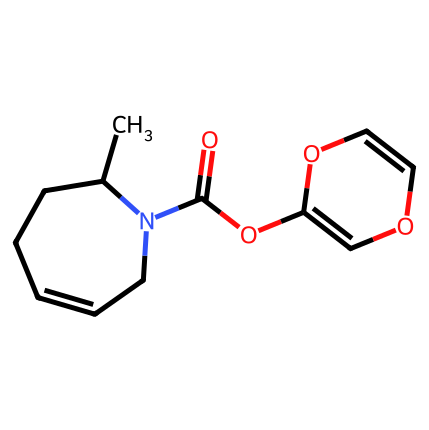 CC1CCC=CCN1C(=O)OC1=COC=CO1